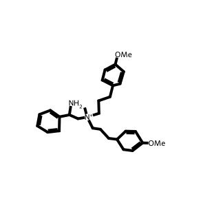 COC1=CCC(CCC[N+](C)(CCCc2ccc(OC)cc2)CC(N)c2ccccc2)C=C1